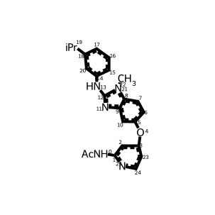 CC(=O)Nc1cc(Oc2ccc3c(c2)nc(Nc2cccc(C(C)C)c2)n3C)ccn1